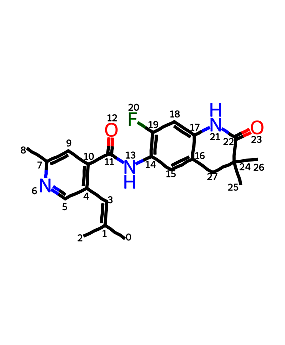 CC(C)=Cc1cnc(C)cc1C(=O)Nc1cc2c(cc1F)NC(=O)C(C)(C)C2